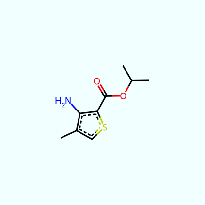 Cc1csc(C(=O)OC(C)C)c1N